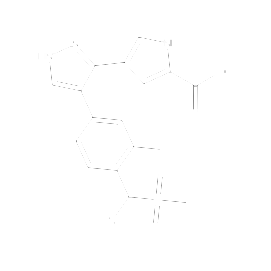 CS(=O)(=O)C(N)c1ccc(-c2c[nH]nc2-c2c[nH]c(C(=O)O)c2)cc1Cl